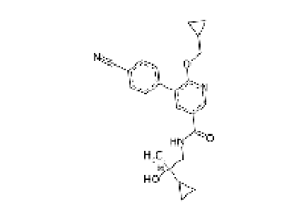 C[C@](O)(CNC(=O)c1cnc(OCC2CC2)c(-c2ccc(C#N)cc2)c1)C1CC1